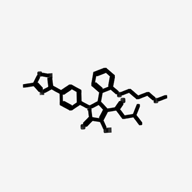 COCCCOc1ccccc1C1C(C(=O)CC(C)C)=C(O)C(=O)N1c1ccc(-c2noc(C)n2)cc1